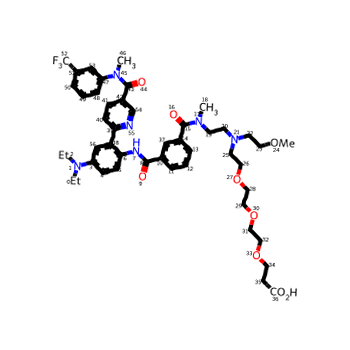 CCN(CC)c1ccc(NC(=O)c2cccc(C(=O)N(C)CCN(CCOC)CCOCCOCCOCCC(=O)O)c2)c(-c2ccc(C(=O)N(C)c3cccc(C(F)(F)F)c3)cn2)c1